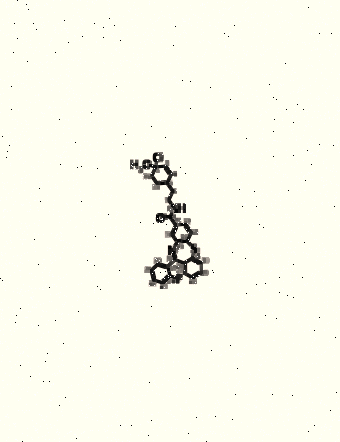 CC1(Cl)C=CC(CCNC(=O)c2ccc3c(c2)N=C(c2ccccc2F)c2ccccc2S3)=CC1